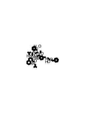 CC(=O)N(C1COc2ccc(CNCC(=O)OCc3ccccc3)cc21)[C@@H](Cc1ccccc1)C(=O)N[C@@H](CC(C)C)C(=O)NC(CC1CCCCC1)C(O)CC(=O)NCC(C)C.O